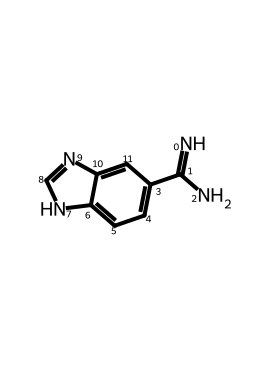 N=C(N)c1ccc2[nH]cnc2c1